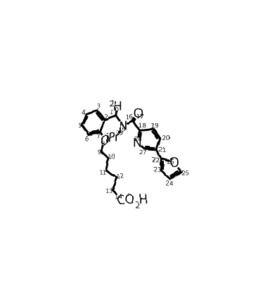 [2H]C(c1ccccc1OCCCCCC(=O)O)N(C(=O)c1ccc(-c2ccco2)cn1)C(C)C